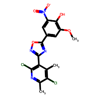 COc1cc(-c2nc(-c3c(Cl)nc(C)c(Cl)c3C)no2)cc([N+](=O)[O-])c1O